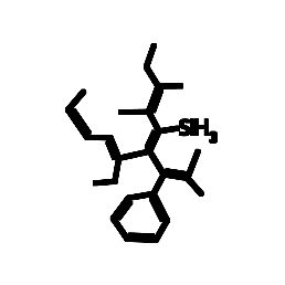 C\C=C/C=C(CC)/C(C(=C(C)C)c1ccccc1)=C([SiH3])\C(C)=C(/C)CC